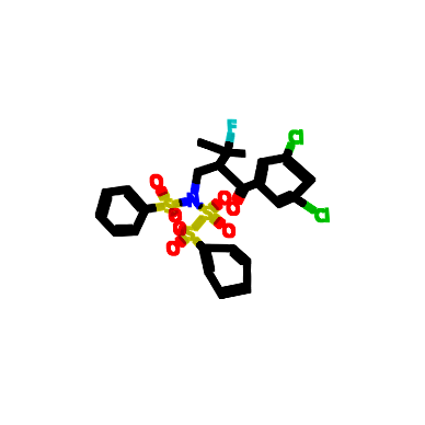 CC(C)(F)C(CN(S(=O)(=O)c1ccccc1)S(=O)(=O)S(=O)(=O)c1ccccc1)C(=O)c1cc(Cl)cc(Cl)c1